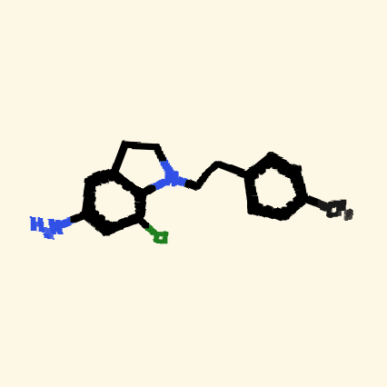 Nc1cc(Cl)c2c(c1)CCN2CCc1ccc(C(F)(F)F)cc1